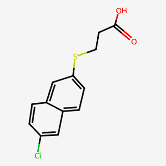 O=C(O)CCSc1ccc2cc(Cl)ccc2c1